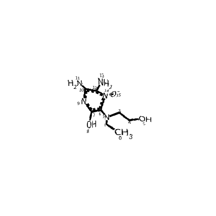 CCN(CCO)c1c(O)nc(N)c(N)[n+]1[O-]